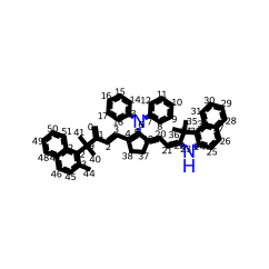 C=C(/C=C/C1=C(N(c2ccccc2)c2ccccc2)C(=C/C=C2/Nc3ccc4ccccc4c3C2(C)C)/CC1)C(C)(C)c1c(C)ccc2ccccc12